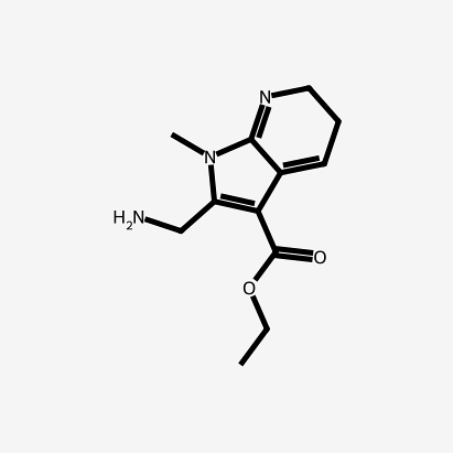 CCOC(=O)c1c(CN)n(C)c2c1=CCCN=2